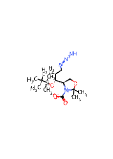 C[C@@H](CN=[N+]=N)[C@@H](O[Si](C)(C)C(C)(C)C)[C@H]1COC(C)(C)N1C(=O)[O-]